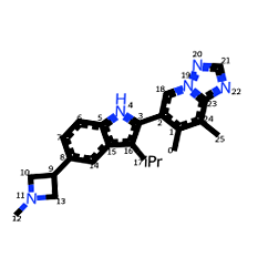 Cc1c(-c2[nH]c3ccc(C4CN(C)C4)cc3c2C(C)C)cn2ncnc2c1C